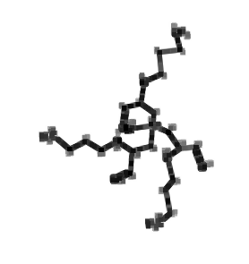 CCCCOC(C=O)[CH2][Sn]([Br])([CH2]C(C=O)OCCCC)[CH2]C(C=O)OCCCC